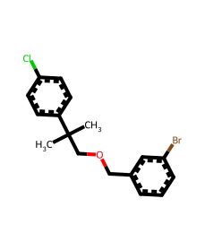 CC(C)(COCc1cccc(Br)c1)c1ccc(Cl)cc1